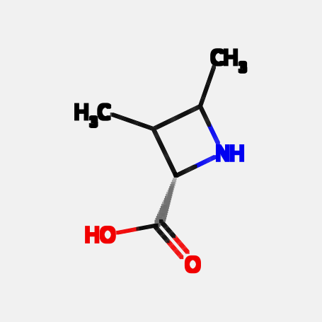 CC1N[C@H](C(=O)O)C1C